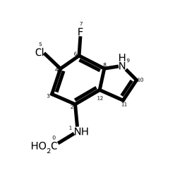 O=C(O)Nc1cc(Cl)c(F)c2[nH]ccc12